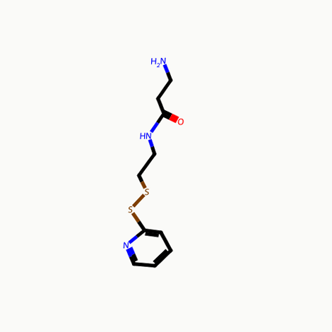 NCCC(=O)NCCSSc1ccccn1